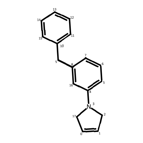 C1=CCN(c2cccc(Cc3ccccc3)c2)C1